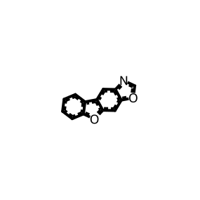 c1ccc2c(c1)oc1cc3ocnc3cc12